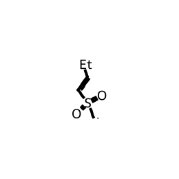 [CH2]S(=O)(=O)/C=C/CC